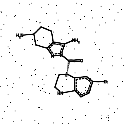 CCc1ccc2c(c1)[C@@H](C(=O)n1nc3c(c1N)CCC(N)C3)CCN2